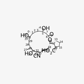 C[C@@H]1C[C@H](C)[C@@H](O)CC(=O)O[C@H]([C@@H]2CCC[C@H]2C(=O)O)C/C=C/C=C(/C#N)[C@H](O)[C@@H](C)C[C@H](C)[C@H]1O